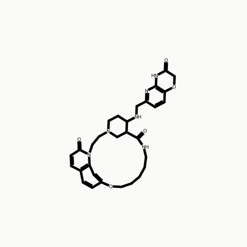 O=C1COc2ccc(CNC3CCN4CCn5c(=O)ccc6ccc(cc65)OCCCCCNC(=O)C3C4)nc2N1